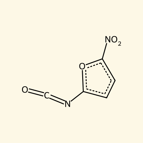 O=C=Nc1ccc([N+](=O)[O-])o1